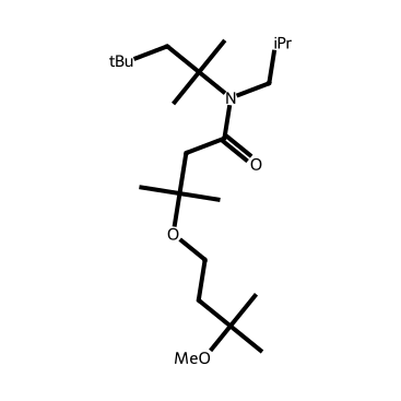 COC(C)(C)CCOC(C)(C)CC(=O)N(CC(C)C)C(C)(C)CC(C)(C)C